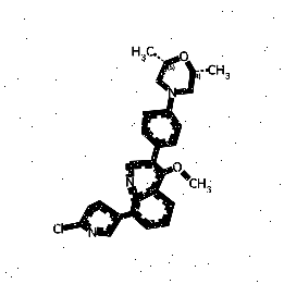 COc1c(-c2ccc(N3C[C@@H](C)O[C@@H](C)C3)cc2)cnc2c(-c3ccc(Cl)nc3)cccc12